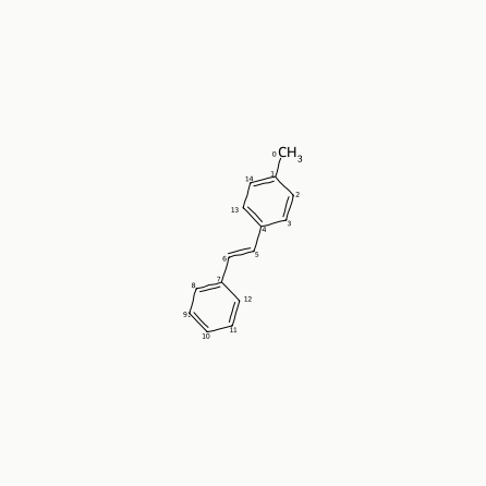 Cc1ccc(C=Cc2c[c]ccc2)cc1